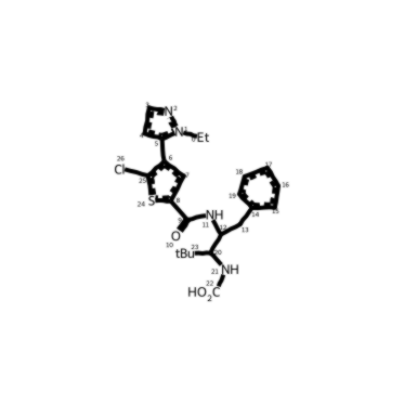 CCn1nccc1-c1cc(C(=O)NC(Cc2ccccc2)C(NC(=O)O)C(C)(C)C)sc1Cl